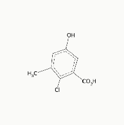 Cc1cc(O)cc(C(=O)O)c1Cl